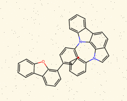 c1ccc(-n2ccc3ccc4c5ccccc5n(-c5ccc(-c6cccc7c6oc6ccccc67)cc5)c4c32)cc1